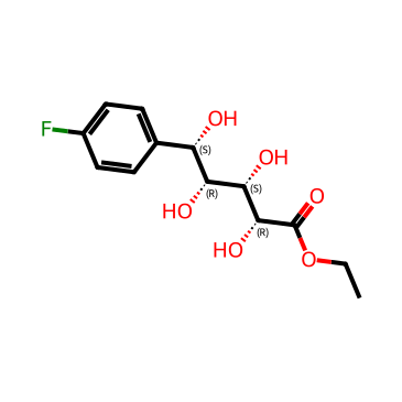 CCOC(=O)[C@H](O)[C@@H](O)[C@H](O)[C@@H](O)c1ccc(F)cc1